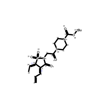 C=C/C=C1/C(=O)N(CC(=O)N2CCN(C(=O)OC(C)(C)C)CC2)S(=O)(=O)/C1=C/C